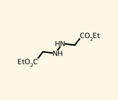 CCOC(=O)CNNCC(=O)OCC